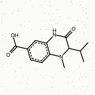 CC(C)C1C(=O)Nc2cc(C(=O)O)ccc2N1C